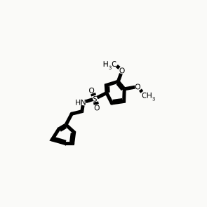 COc1ccc(S(=O)(=O)NCCc2cc[c]cc2)cc1OC